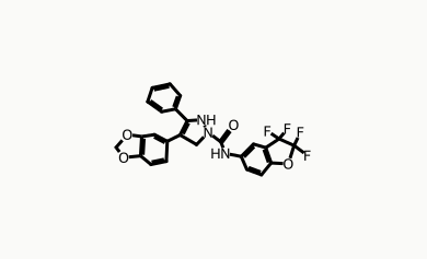 O=C(Nc1ccc2c(c1)C(F)(F)C(F)(F)O2)N1CC(c2ccc3c(c2)OCO3)=C(c2ccccc2)N1